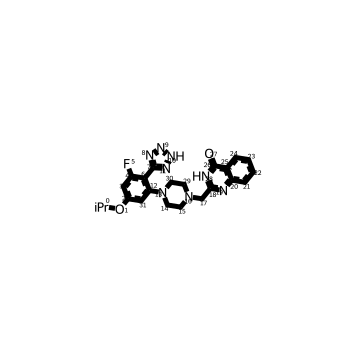 CC(C)Oc1cc(F)c(-c2nn[nH]n2)c(N2CCN(Cc3nc4ccccc4c(=O)[nH]3)CC2)c1